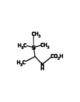 CC(NC(=O)O)[Si](C)(C)C